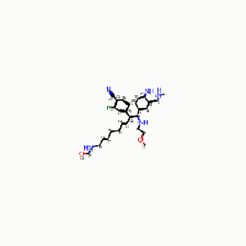 CN/C=C1C=C(/C(NCCOC)=C(/C=C/CCCCCNC=O)c2ccc(C#N)c(F)c2)CCC/1=N